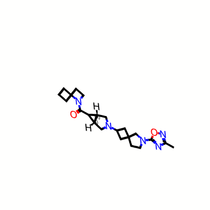 Cc1noc(N2CCC3(CC(N4C[C@@H]5C(C(=O)N6CCC67CCC7)[C@@H]5C4)C3)C2)n1